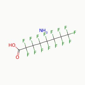 N.O=C(O)C(F)(F)C(F)(F)C(F)(F)C(F)(F)C(F)(F)C(F)(F)C(F)(F)F